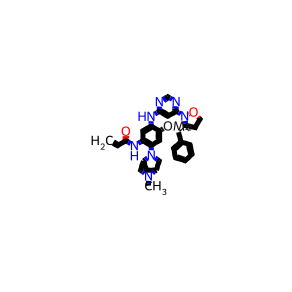 C=CC(=O)Nc1cc(Nc2cc(N3OCC[C@@H]3Cc3ccccc3)ncn2)c(OC)cc1N1CC2CC1CN2C